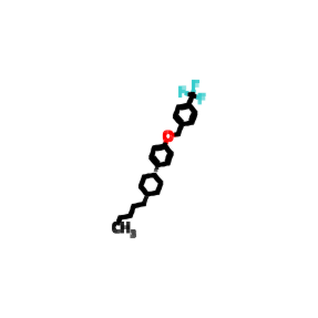 CCCCC[C@H]1CC[C@H](c2ccc(OCc3ccc(C(F)(F)F)cc3)cc2)CC1